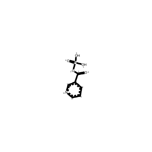 O=C(OP(=O)(O)O)c1cccnc1